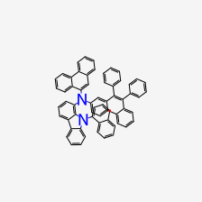 c1ccc(-c2c(-c3ccccc3)c3cc(N(c4cc5ccccc5c5ccccc45)c4cccc5c6ccccc6n(-c6cccc7ccccc67)c45)ccc3c3ccccc23)cc1